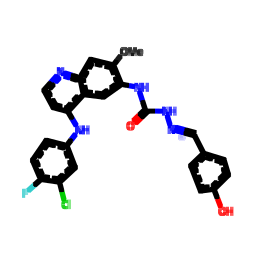 COc1cc2nccc(Nc3ccc(F)c(Cl)c3)c2cc1NC(=O)N/N=C/c1ccc(O)cc1